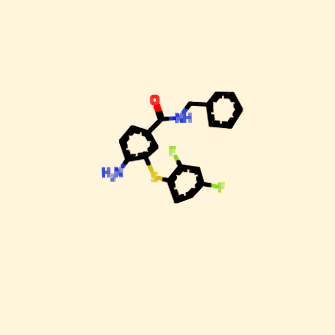 Nc1ccc(C(=O)NCc2ccccc2)cc1Sc1ccc(F)cc1F